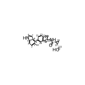 Cc1ccc2[nH]ccc2c1-c1ccc2nc(NC(=O)[C@@H]3C[C@@H]3CO)sc2c1